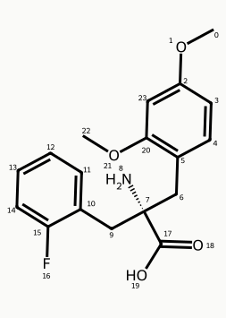 COc1ccc(C[C@](N)(Cc2ccccc2F)C(=O)O)c(OC)c1